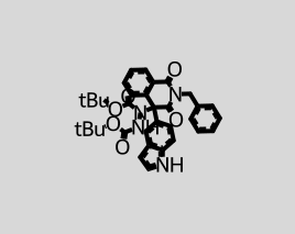 CC(C)(C)OC(=O)NN(C(=O)OC(C)(C)C)C1(c2ccc3[nH]ccc3c2)C(=O)N(Cc2ccccc2)C(=O)c2ccccc21